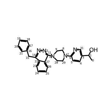 CC(O)c1ccc(N2CCN(c3nnc(Cc4ccccc4)c4ccccc34)CC2)nc1